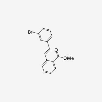 COC(=O)c1ccccc1/C=C/c1cccc(Br)c1